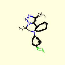 CC1N=NN2C(C)CN(c3ccc(Cl)cc3)c3ccccc3C12